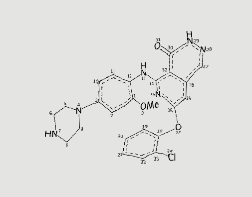 COc1cc(N2CCNCC2)ccc1Nc1nc(Oc2ccccc2Cl)cc2cn[nH]c(=O)c12